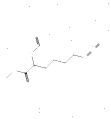 COC(=O)C(CCCCN=C=O)NC=O